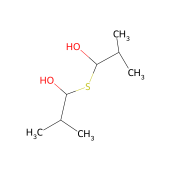 CC(C)C(O)SC(O)C(C)C